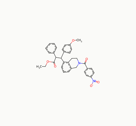 CCOC(=O)C(c1ccccc1)C(c1ccc(OC)cc1)c1cccc2c1CCN(C(=O)c1ccc([N+](=O)[O-])cc1)C2